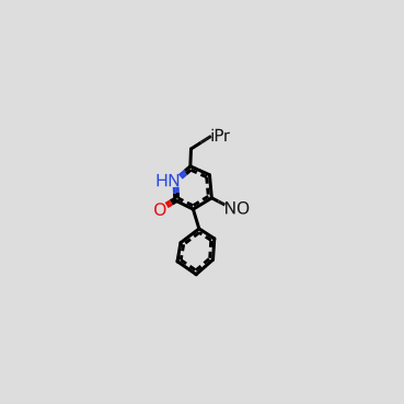 CC(C)Cc1cc(N=O)c(-c2ccccc2)c(=O)[nH]1